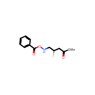 COC(=O)C[C@@H](F)CNOC(=O)c1ccccc1